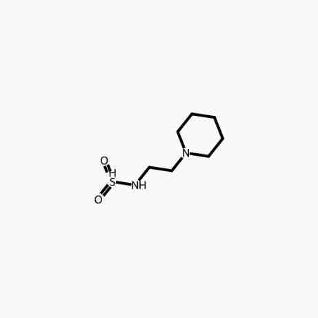 O=[SH](=O)NCCN1CCCCC1